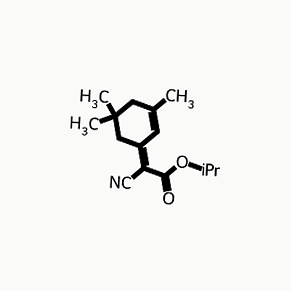 CC1=CC(=C(C#N)C(=O)OC(C)C)CC(C)(C)C1